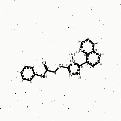 CCn1c(SCC(=O)Nc2ccccc2)nnc1-c1ccnc2cccnc12